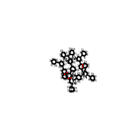 c1ccc(-c2cc(-c3ccccc3)cc(N3c4ccccc4C4c5ccccc5N(c5cc(-c6ccccc6)cc(-c6ccccc6)c5)c5cc(-c6ccc7c(c6)c6ccccc6n7-c6cc(-c7nc(-c8ccccc8)cc(-c8ccccc8)n7)ccc6-c6nc(-c7ccccc7)cc(-c7ccccc7)n6)cc3c54)c2)cc1